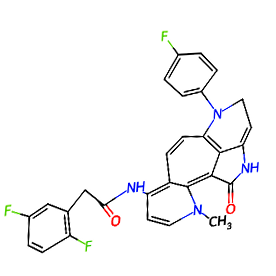 CN1C=CC(NC(=O)Cc2cc(F)ccc2F)=c2ccc3c4c([nH]c(=O)c-4c21)=CCN3c1ccc(F)cc1